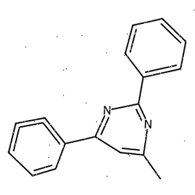 Cc1cc(C2=C=C=CC=C2)nc(-c2ccccc2)n1